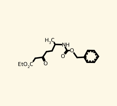 CCOC(=O)CC(=O)CCC(C)NC(=O)OCc1ccccc1